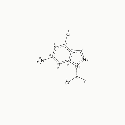 CC(Cl)n1ncc2c(Cl)nc(N)nc21